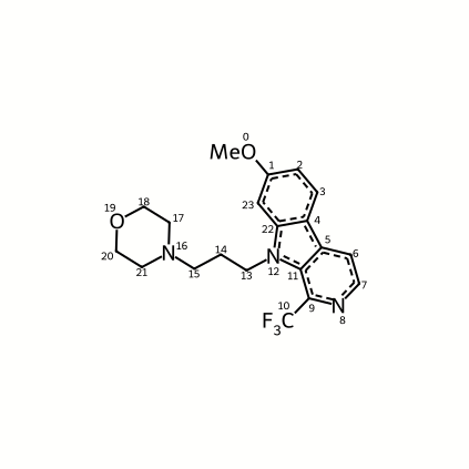 COc1ccc2c3ccnc(C(F)(F)F)c3n(CCCN3CCOCC3)c2c1